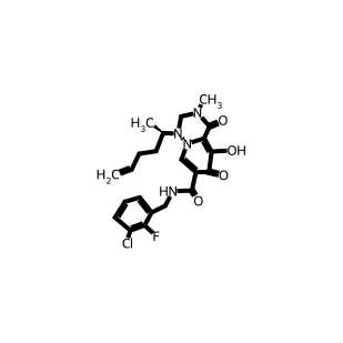 C=CCC[C@@H](C)N1CN(C)C(=O)c2c(O)c(=O)c(C(=O)NCc3cccc(Cl)c3F)cn21